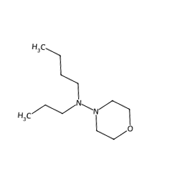 CCCCN(CCC)N1CCOCC1